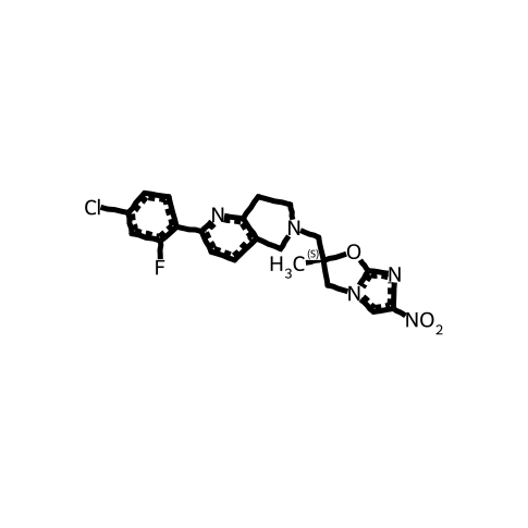 C[C@]1(CN2CCc3nc(-c4ccc(Cl)cc4F)ccc3C2)Cn2cc([N+](=O)[O-])nc2O1